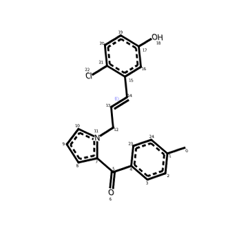 Cc1ccc(C(=O)c2cccn2C/C=C/c2cc(O)ccc2Cl)cc1